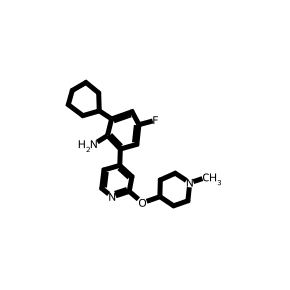 CN1CCC(Oc2cc(-c3cc(F)cc(C4CCCCC4)c3N)ccn2)CC1